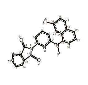 CN(c1cccc(N2C(=O)c3ccccc3C2=O)n1)c1nccc2ccc(Cl)cc12